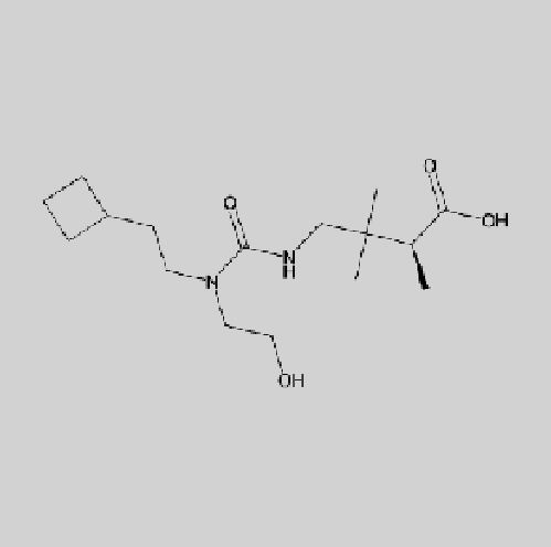 C[C@H](C(=O)O)C(C)(C)CNC(=O)N(CCO)CCC1CCC1